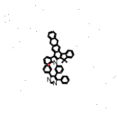 CC1(C)c2ccccc2-c2c1c1c(c3cc4c(cc23)Cc2ccccc2C4)c2ccccc2n1-c1cccc(-c2c(-c3ccccc3)ncnc2-c2ccccc2)c1